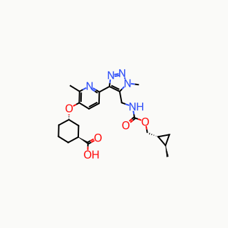 Cc1nc(-c2nnn(C)c2CNC(=O)OC[C@@H]2C[C@H]2C)ccc1O[C@H]1CCC[C@H](C(=O)O)C1